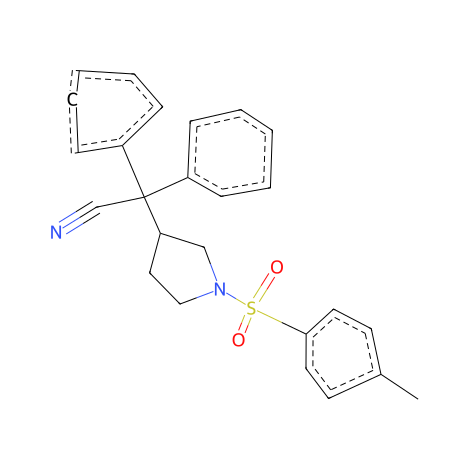 Cc1ccc(S(=O)(=O)N2CCC(C(C#N)(c3ccccc3)c3ccccc3)C2)cc1